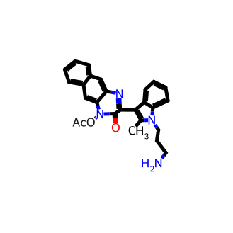 CC(=O)On1c(=O)c(-c2c(C)n(CCCN)c3ccccc23)nc2cc3ccccc3cc21